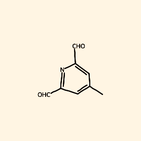 Cc1cc(C=O)nc(C=O)c1